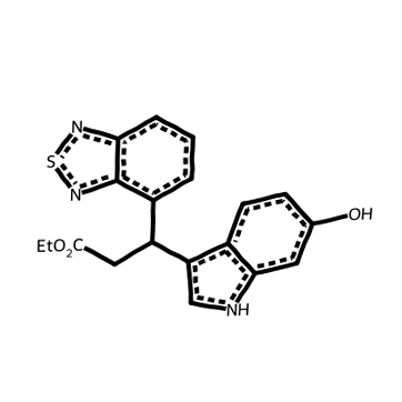 CCOC(=O)CC(c1c[nH]c2cc(O)ccc12)c1cccc2nsnc12